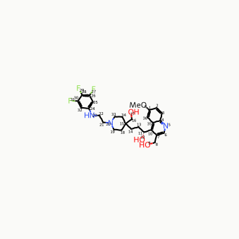 COc1ccc2ncc(CO)c([C@H](O)CCC3(CO)CCN(CCNc4cc(F)c(F)c(F)c4)CC3)c2c1